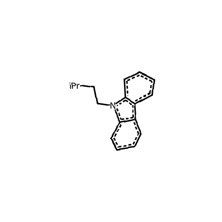 CC(C)CCn1c2ccccc2c2ccccc21